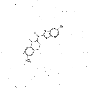 CC1c2ccc([N+](=O)[O-])cc2CCN1C(=O)c1cc2ccc(Br)cn2n1